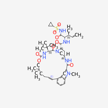 C=C[C@H](C)C(NC(=O)[C@@H]1C[C@@H]2CN1C(=O)[C@H](C(C)(C)C)NC(=O)OCC(C)(C)CC/C=C/c1cccc3c1cc(n3C)C(=O)N2)C(=O)NS(=O)(=O)C1CC1